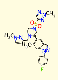 Cc1cc2c(cnn2-c2ccc(F)cc2)cc1[C@@H]1CN(S(=O)(=O)c2cnn(C)n2)CCN1Cc1ccn(C)n1